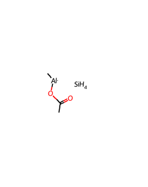 [CH3][Al][O]C(C)=O.[SiH4]